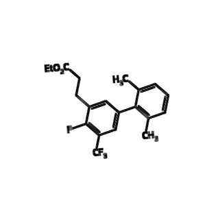 CCOC(=O)CCc1cc(-c2c(C)cccc2C)cc(C(F)(F)F)c1F